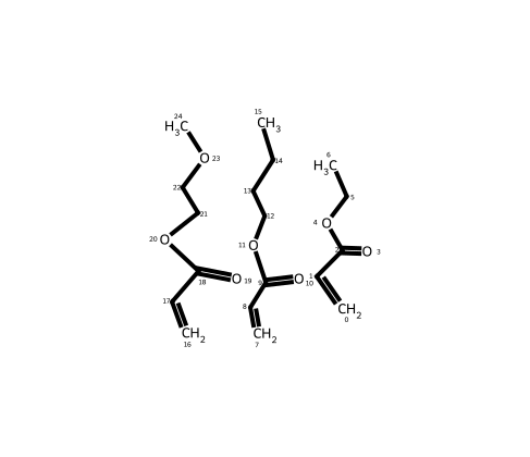 C=CC(=O)OCC.C=CC(=O)OCCCC.C=CC(=O)OCCOC